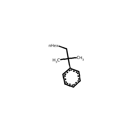 CCCCCCCC(C)(C)c1ccccc1